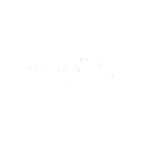 Cc1nc(C)c(-c2csc(Nc3cc(S(N)(=O)=O)ccc3O)n2)s1